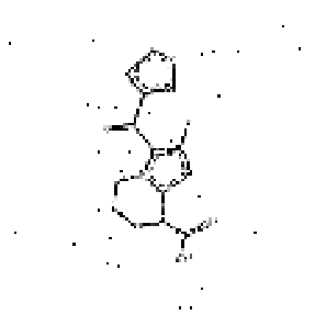 Cc1cc2n(c1C(=O)c1ccsc1)CCCC2C(=O)O